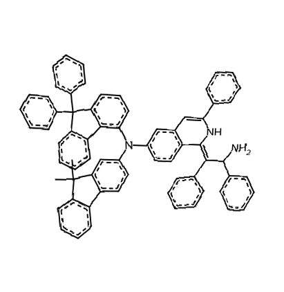 CC1(C)c2ccccc2-c2ccc(N(c3ccc4c(c3)C=C(c3ccccc3)N/C4=C(/c3ccccc3)C(N)c3ccccc3)c3cccc4c3-c3ccccc3C4(c3ccccc3)c3ccccc3)cc21